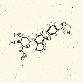 CC(C)c1ccc(Cc2cc(C3CC(O)[C@H](O)C(CN=O)O3)c3c(c2Cl)OCC3)cc1